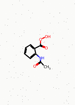 CC(=O)Nc1ccccc1C(=O)OO